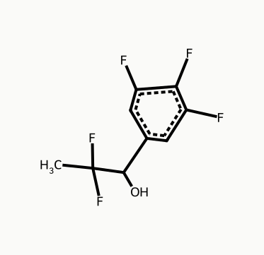 CC(F)(F)C(O)c1cc(F)c(F)c(F)c1